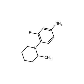 CC1CCCCN1c1ccc(N)cc1F